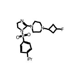 CC(C)c1ccc(S(=O)(=O)N2CCN=C2N2CCN(C3CC(F)C3)CC2)cc1